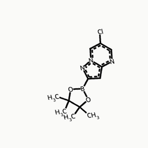 CC1(C)OB(c2cc3ncc(Cl)cn3n2)OC1(C)C